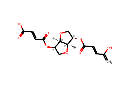 C=C(O)C=CC(=O)O[C@H]1CO[C@H]2[C@@H]1OC[C@H]2OC(=O)C=CC(=O)O